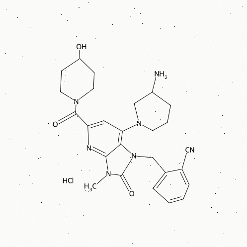 Cl.Cn1c(=O)n(Cc2ccccc2C#N)c2c(N3CCCC(N)C3)cc(C(=O)N3CCC(O)CC3)nc21